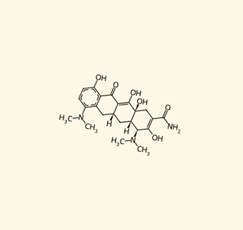 CN(C)c1ccc(O)c2c1C[C@H]1C[C@H]3[C@H](N(C)C)C(O)=C(C(N)=O)C[C@@]3(O)C(O)=C1C2=O